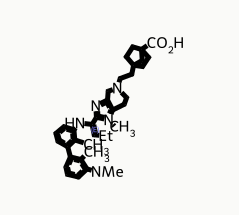 CC/C=C(/Nc1cccc(-c2cccc(NC)c2C)c1C)c1nc2c(n1C)CCN(CCC13CCC(C(=O)O)(CC1)C3)C2